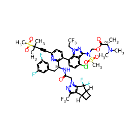 C[C@@H](C(=O)OCN(c1nn(CC(F)(F)F)c2c(-c3ccc(C#CC(C)(C)S(C)(=O)=O)nc3[C@H](Cc3cc(F)cc(F)c3)NC(=O)Cn3nc(C(F)(F)F)c4c3C(F)(F)[C@@H]3CC[C@H]43)ccc(Cl)c12)S(C)(=O)=O)N(C)C